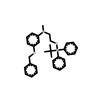 CN(CCO[Si](c1ccccc1)(c1ccccc1)C(C)(C)C)c1cccc(OCc2ccccc2)c1